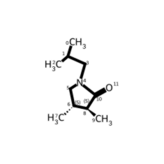 CC(C)CN1C[C@@H](C)[C@H](C)C1=O